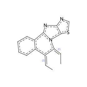 C/C=c1\c(=C/C)n2c(nc3ncsc32)c2ccccc12